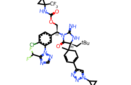 CC(C)(C)C[C@]1(C2(C)C=CC(c3cn(C4CC4)nn3)=CC2)NC(=N)N([C@H](COC(=O)NC2(C(F)(F)F)CC2)c2ccc(Cl)c(-n3ncnc3C(F)F)c2)C1=O